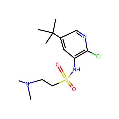 CN(C)CCS(=O)(=O)Nc1cc(C(C)(C)C)cnc1Cl